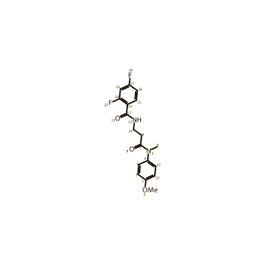 COc1ccc(N(C)C(=O)CCNC(=O)c2ccc(F)cc2F)cc1